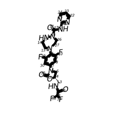 O=C(NC[C@H]1CN(c2cc(F)c(N3CCNN(C(=O)Nc4ncccn4)CC3)c(F)c2)C(=O)O1)C(F)F